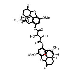 COc1cc(OC(=O)C(O)C(O)C(=O)Oc2cc(OC)c3c4c2C[C@@H]2[C@@H]5CCC(=O)C(O3)[C@]45CCN2C)c2c3c1OC1C(=O)CC[C@H]4[C@@H](C2)N(C)CC[C@]314